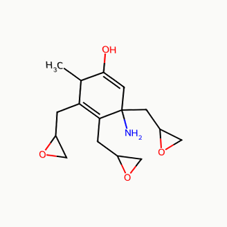 CC1C(O)=CC(N)(CC2CO2)C(CC2CO2)=C1CC1CO1